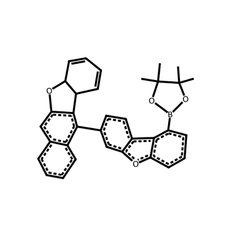 CC1(C)OB(c2cccc3oc4cc(-c5c6c(cc7ccccc57)OC5C=CC=CC65)ccc4c23)OC1(C)C